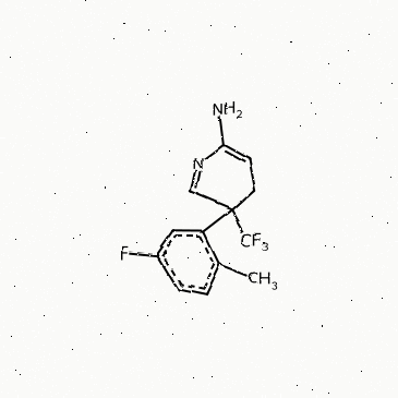 Cc1ccc(F)cc1C1(C(F)(F)F)C=NC(N)=CC1